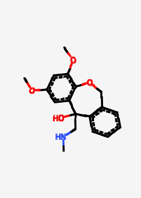 CNCC1(O)c2ccccc2COc2c(OC)cc(OC)cc21